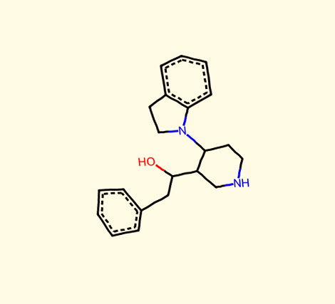 OC(Cc1ccccc1)C1CNCCC1N1CCc2ccccc21